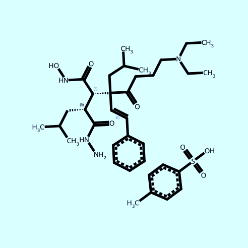 CCN(CC)CCCC(=O)C(/C=C/c1ccccc1)(CC(C)C)[C@@H](C(=O)NO)[C@@H](CC(C)C)C(=O)NN.Cc1ccc(S(=O)(=O)O)cc1